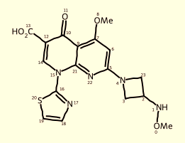 CONC1CN(c2cc(OC)c3c(=O)c(C(=O)O)cn(-c4nccs4)c3n2)C1